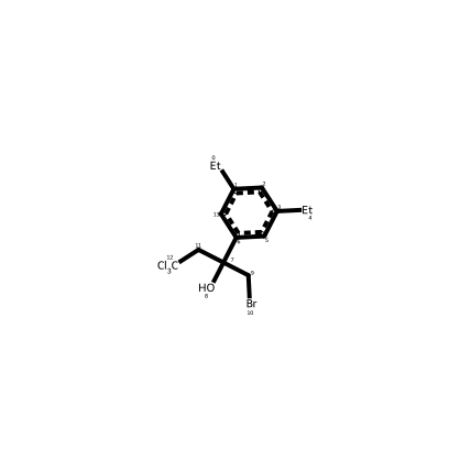 CCc1cc(CC)cc(C(O)(CBr)CC(Cl)(Cl)Cl)c1